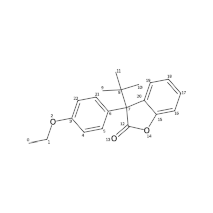 CCOc1ccc(C2(C(C)(C)C)C(=O)Oc3ccccc32)cc1